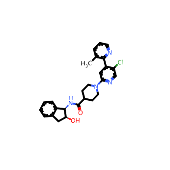 Cc1cccnc1-c1cc(N2CCC(C(=O)N[C@@H]3c4ccccc4C[C@@H]3O)CC2)ncc1Cl